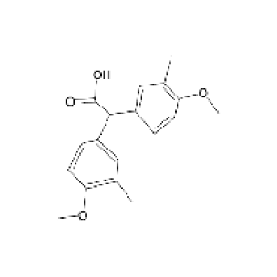 COc1ccc(C(C(=O)O)c2ccc(OC)c(C)c2)cc1C